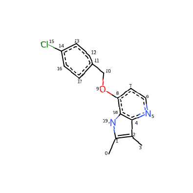 CC1=C(C)c2nccc(OCc3ccc(Cl)cc3)c2[N]1